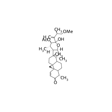 C=C([C@@H](C)COC)C1(O)O[C@H]2C[C@@]3(C)C4CCC5[C@H](C)C(=O)C=C[C@@]56C[C@@]46CC[C@]3(C)[C@H]2[C@H](C)[C@H]1OC(C)=O